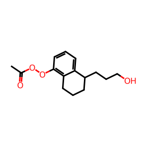 CC(=O)OOc1cccc2c1CCCC2CCCO